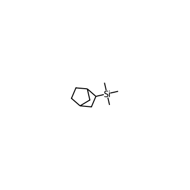 C[Si](C)(C)C1CC2CCC1C2